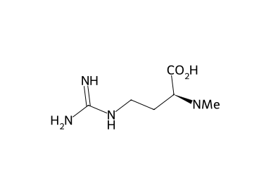 CN[C@@H](CCNC(=N)N)C(=O)O